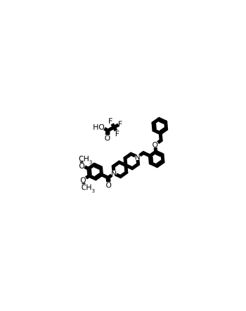 COc1ccc(C(=O)N2CCC3(CCN(Cc4ccccc4OCc4ccccc4)CC3)CC2)cc1OC.O=C(O)C(F)(F)F